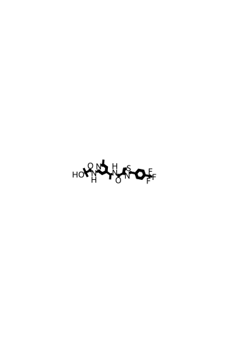 Cc1cc(C(C)NC(=O)c2csc(-c3ccc(C(F)(F)F)cc3)n2)cc(NC(=O)C(C)(C)O)n1